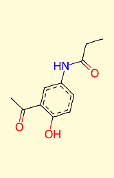 CCC(=O)Nc1ccc(O)c(C(C)=O)c1